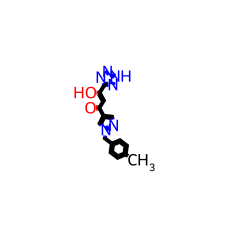 Cc1ccc(Cn2cc(C(=O)C=C(O)c3nn[nH]n3)cn2)cc1